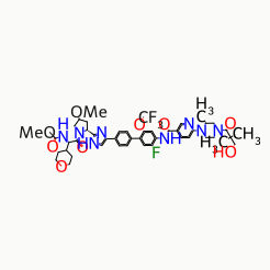 COC(=O)NC(C(=O)N1C[C@@H](OC)C[C@H]1c1nc(-c2ccc(-c3cc(F)c(NC(=O)c4ccc(N5CCN(C(=O)C(C)(C)CO)C[C@H]5C)nc4)cc3OC(F)(F)F)cc2)c[nH]1)C1CCOCC1